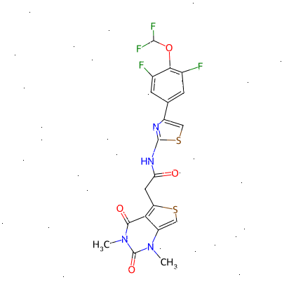 Cn1c(=O)c2c(CC(=O)Nc3nc(-c4cc(F)c(OC(F)F)c(F)c4)cs3)scc2n(C)c1=O